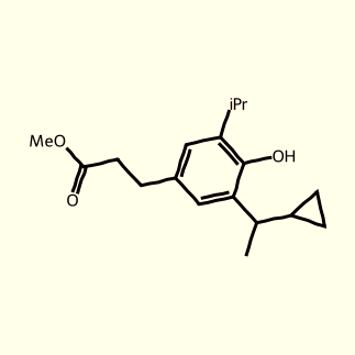 COC(=O)CCc1cc(C(C)C)c(O)c(C(C)C2CC2)c1